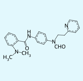 CN(C)c1ccccc1C(=O)Nc1ccc(N(C=O)CCc2ccccn2)cc1